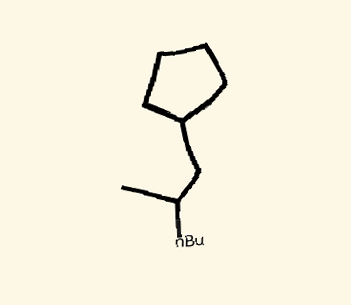 CCCCC(C)CC1CCCC1